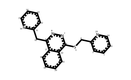 c1ccc(CSc2nnc(Cc3ccccn3)c3ccccc23)nc1